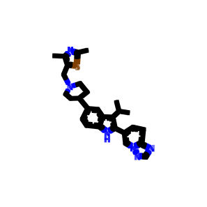 Cc1nc(C)c(CN2CCC(c3ccc4[nH]c(-c5ccc6ncnn6c5)c(C(C)C)c4c3)CC2)s1